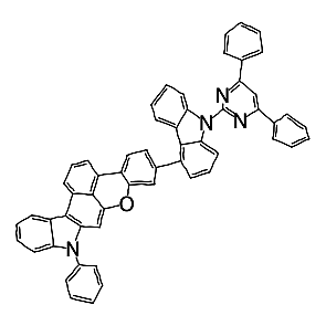 c1ccc(-c2cc(-c3ccccc3)nc(-n3c4ccccc4c4c(-c5ccc6c(c5)Oc5cc7c(c8cccc-6c58)c5ccccc5n7-c5ccccc5)cccc43)n2)cc1